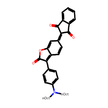 CCCCCCCCN(CCCCCCCC)c1ccc(C2=c3ccc(=C4C(=O)c5ccccc5C4=O)cc3OC2=O)cc1